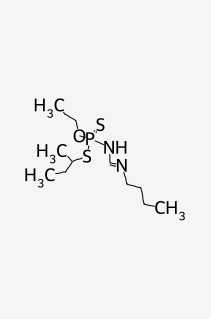 CCCCN=CNP(=S)(OCCC)SC(C)CC